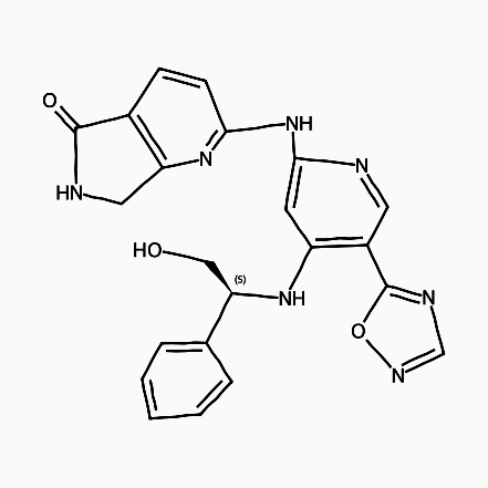 O=C1NCc2nc(Nc3cc(N[C@H](CO)c4ccccc4)c(-c4ncno4)cn3)ccc21